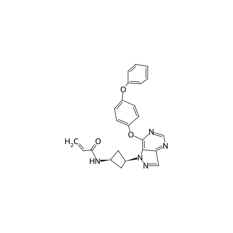 C=CC(=O)N[C@H]1C[C@@H](n2ncc3ncnc(Oc4ccc(Oc5ccccc5)cc4)c32)C1